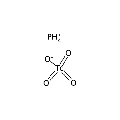 [O]=[Tc](=[O])(=[O])[O-].[PH4+]